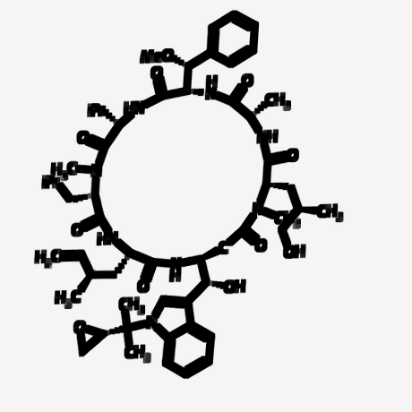 C=C[C@H](C)C[C@@H]1NC(=O)[C@H](CC(C)C)N(C)C(=O)[C@H](C(C)C)NC(=O)[C@H]([C@H](OC)c2ccccc2)NC(=O)[C@H](C)NC(=O)[C@H](C[C@@H](C)CO)N(C)C(=O)C[C@@H]([C@H](O)c2cn(C(C)(C)[C@@H]3CO3)c3ccccc23)NC1=O